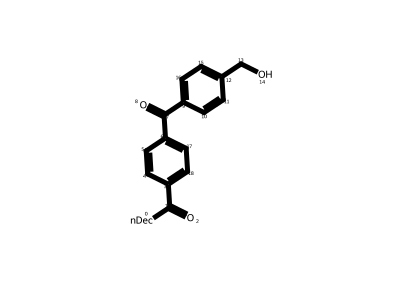 CCCCCCCCCCC(=O)c1ccc(C(=O)c2ccc(CO)cc2)cc1